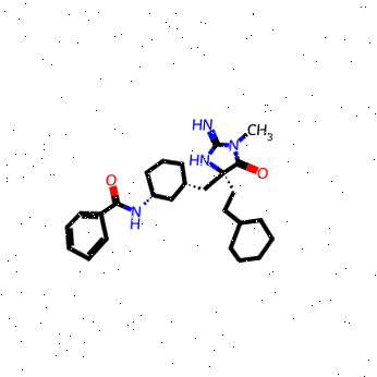 CN1C(=N)N[C@](CCC2CCCCC2)(C[C@H]2CCC[C@@H](NC(=O)c3ccccc3)C2)C1=O